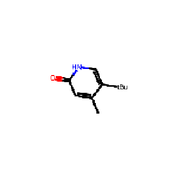 Cc1cc(=O)[nH]cc1C(C)(C)C